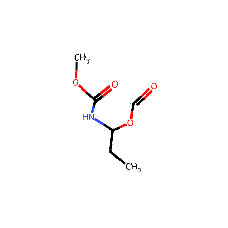 CCC(NC(=O)OC)O[C]=O